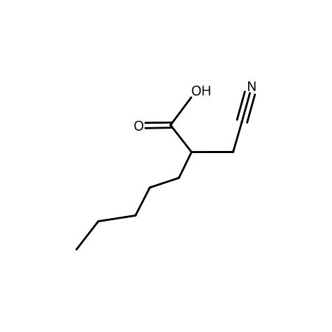 CCCCCC(CC#N)C(=O)O